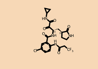 O=C(CC(F)(F)F)Nc1ccc(Cl)cc1C(=O)N[C@@H](C[C@@H]1CCNC1=O)C(=O)C(=O)NC1CC1